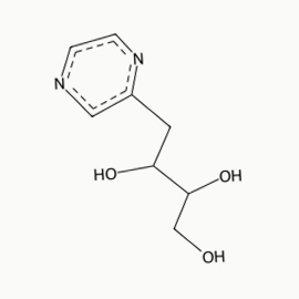 OCC(O)C(O)Cc1cnccn1